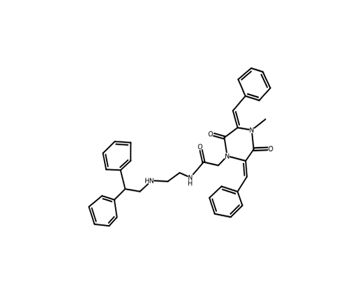 Cn1c(=O)c(=Cc2ccccc2)n(CC(=O)NCCNCC(c2ccccc2)c2ccccc2)c(=O)c1=Cc1ccccc1